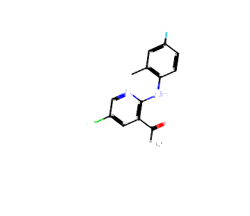 COC(=O)c1cc(Cl)cnc1Nc1ccc(F)cc1C